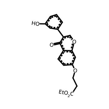 CCOC(=O)CCOc1ccc2c(=O)c(-c3cccc(O)c3)coc2c1